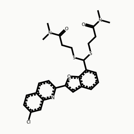 CN(C)C(=O)CCSC(SCCC(=O)N(C)C)c1cccc2cc(-c3ccc4ccc(Cl)cc4n3)oc12